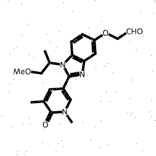 COCC(C)n1c(-c2cc(C)c(=O)n(C)c2)nc2cc(OCC=O)ccc21